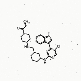 C=CC(=O)N1CCC(NC[C@@H]2CCC[C@H](Nc3ncc(Cl)c(-c4c[nH]c5ccccc45)n3)C2)CC1